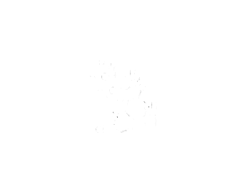 CCC1(C(=O)OC(C)(C)C)C(=O)NC2(CCC2)c2ccc(Cl)nc21